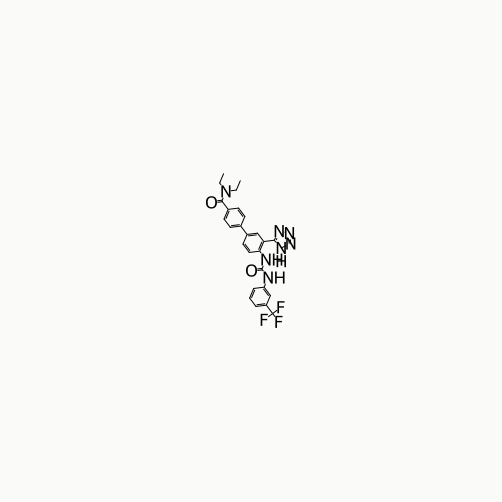 CCN(CC)C(=O)c1ccc(-c2ccc(NC(=O)Nc3cccc(C(F)(F)F)c3)c(-c3nnn[nH]3)c2)cc1